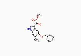 COC(=O)C(=O)c1c[nH]c2cc(C)c(OCc3ccccc3)cc12